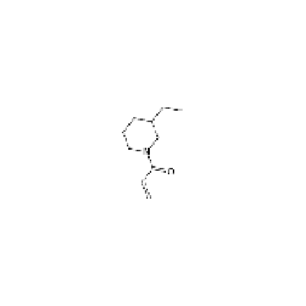 C=CC(=O)N1CCCC(CF)C1